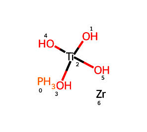 P.[OH][Ti]([OH])([OH])[OH].[Zr]